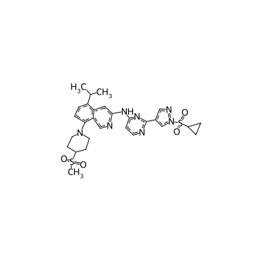 CC(C)c1ccc(N2CCC(S(C)(=O)=O)CC2)c2cnc(Nc3ccnc(-c4cnn(S(=O)(=O)C5CC5)c4)n3)cc12